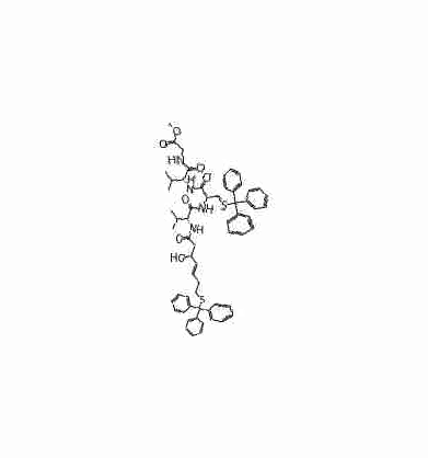 COC(=O)CNC(=O)[C@H](NC(=O)[C@@H](CSC(c1ccccc1)(c1ccccc1)c1ccccc1)NC(=O)[C@H](NC(=O)C[C@H](O)/C=C/CCSC(c1ccccc1)(c1ccccc1)c1ccccc1)C(C)C)C(C)C